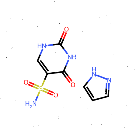 NS(=O)(=O)c1c[nH]c(=O)[nH]c1=O.c1cn[nH]c1